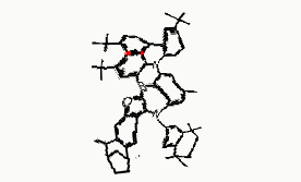 Cc1cc2c3c(c1)N(c1ccc4c(c1)C(C)(C)CCC4(C)C)c1c(oc4cc5c(cc14)[C@@]1(C)CCC(C1)C5C)B3c1cc(C(C)(C)C)ccc1N2c1ccc(C(C)(C)C)cc1-c1ccc(C(C)(C)C)cc1